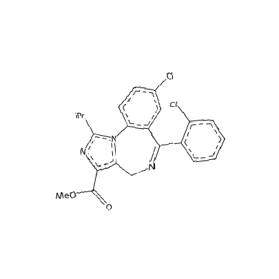 COC(=O)c1nc(C(C)C)n2c1CN=C(c1ccccc1Cl)c1cc(Cl)ccc1-2